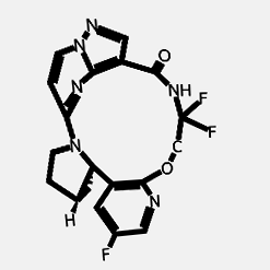 O=C1NC(F)(F)COc2ncc(F)cc2[C@@]23C[C@@H]2CCN3c2ccn3ncc1c3n2